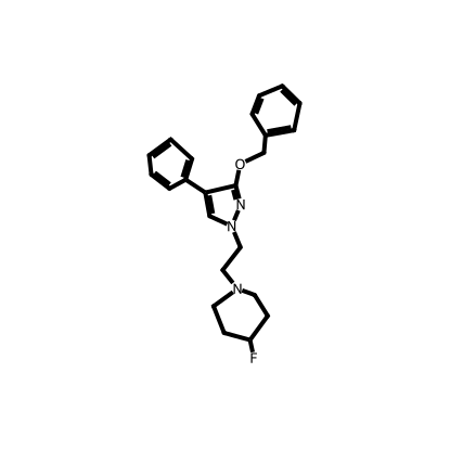 FC1CCN(CCn2cc(-c3ccccc3)c(OCc3ccccc3)n2)CC1